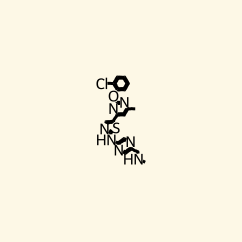 CNCc1cnc(Nc2ncc(-c3cc(C)nc(Oc4ccccc4Cl)n3)s2)cn1